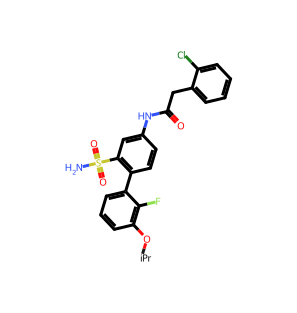 CC(C)Oc1cccc(-c2ccc(NC(=O)Cc3ccccc3Cl)cc2S(N)(=O)=O)c1F